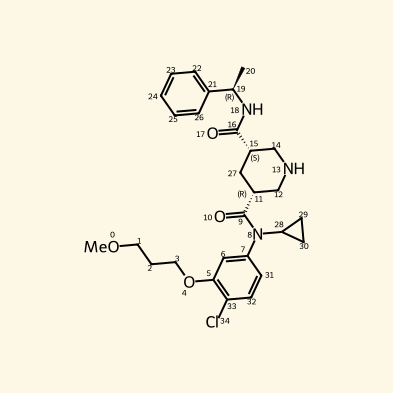 COCCCOc1cc(N(C(=O)[C@H]2CNC[C@@H](C(=O)N[C@H](C)c3ccccc3)C2)C2CC2)ccc1Cl